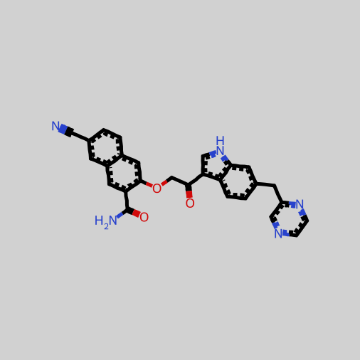 N#Cc1ccc2cc(OCC(=O)c3c[nH]c4cc(Cc5cnccn5)ccc34)c(C(N)=O)cc2c1